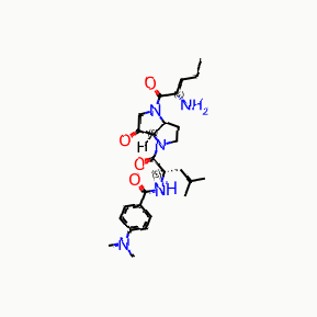 CCC[C@H](N)C(=O)N1CC(=O)[C@@H]2C1CCN2C(=O)[C@H](CC(C)C)NC(=O)c1ccc(N(C)C)cc1